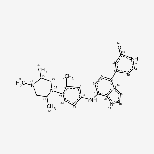 Cc1cc(Nc2ccc(-c3cc[nH]c(=O)c3)n3ccnc23)ccc1N1CC(C)N(C)CC1C